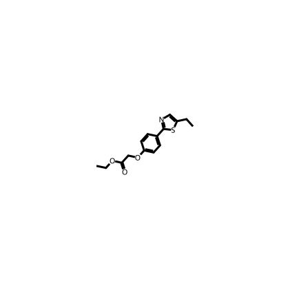 CCOC(=O)COc1ccc(-c2ncc(CC)s2)cc1